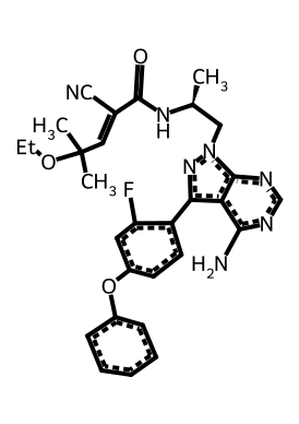 CCOC(C)(C)C=C(C#N)C(=O)N[C@@H](C)Cn1nc(-c2ccc(Oc3ccccc3)cc2F)c2c(N)ncnc21